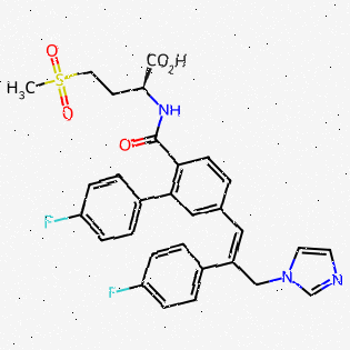 CS(=O)(=O)CC[C@H](NC(=O)c1ccc(/C=C(/Cn2ccnc2)c2ccc(F)cc2)cc1-c1ccc(F)cc1)C(=O)O